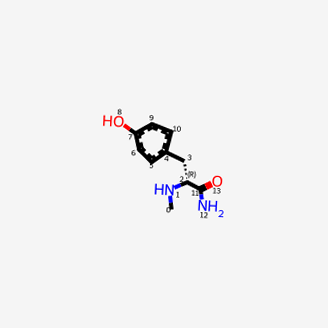 CN[C@H](Cc1ccc(O)cc1)C(N)=O